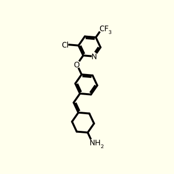 NC1CCC(=Cc2cccc(Oc3ncc(C(F)(F)F)cc3Cl)c2)CC1